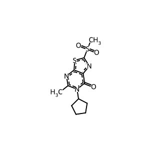 Cc1nc2sc(S(C)(=O)=O)nc2c(=O)n1C1CCCC1